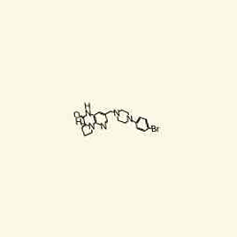 O=C1Nc2cc(CN3CCN(c4ccc(Br)cc4)CC3)cnc2N2CCC[C@@H]12